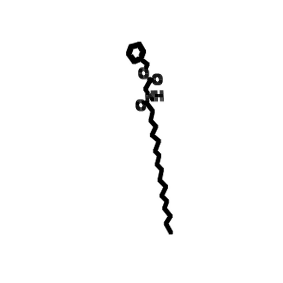 CCCCCCCCCCCCCCCCCC(=O)NCC(=O)OCc1ccccc1